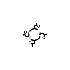 CC(=O)CC1CCCC(CC(C)=O)CCC(CC(C)=O)CCCC(CC(C)=O)CC1